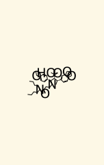 CCCCN(CCCC)C(=O)CCN1C[C@H](c2ccc3c(c2)OCO3)[C@H](C(=O)O)[C@H]1c1ccc(OC)cc1